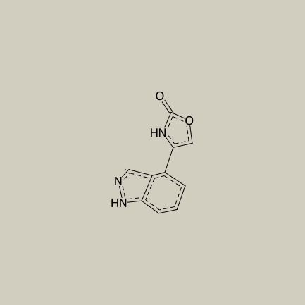 O=c1[nH]c(-c2cccc3[nH]n[c]c23)co1